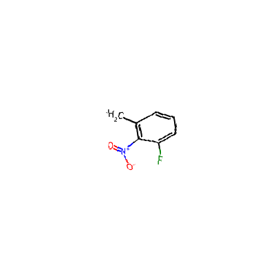 [CH2]c1cccc(F)c1[N+](=O)[O-]